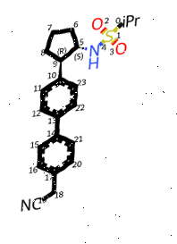 CC(C)S(=O)(=O)N[C@H]1CCC[C@@H]1c1ccc(-c2ccc(CC#N)cc2)cc1